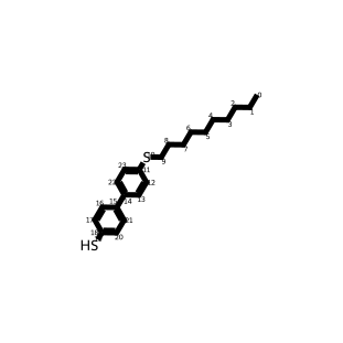 CCCCCCCCCCSc1ccc(-c2ccc(S)cc2)cc1